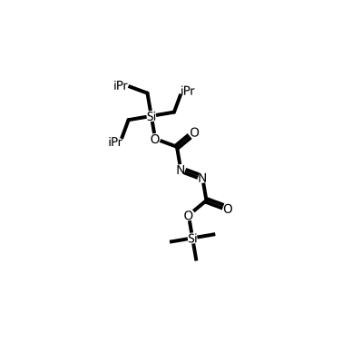 CC(C)C[Si](CC(C)C)(CC(C)C)OC(=O)N=NC(=O)O[Si](C)(C)C